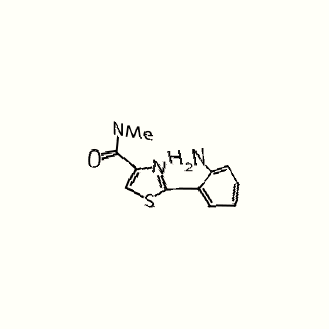 CNC(=O)c1csc(-c2ccccc2N)n1